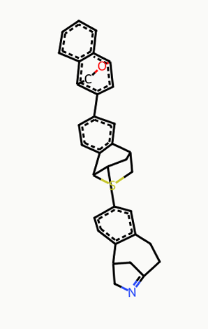 c1ccc2c3c(-c4ccc5c(c4)C4CSC5C(c5ccc6c(c5)CCC5=NCC6C5)C4)cc(c2c1)OC3